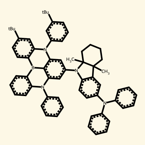 CC(C)(C)c1cccc(N2c3cc(C(C)(C)C)ccc3B3c4ccccc4N(c4ccccc4)c4cc(N5c6ccc(N(c7ccccc7)c7ccccc7)cc6C6(C)CCCCC56C)cc2c43)c1